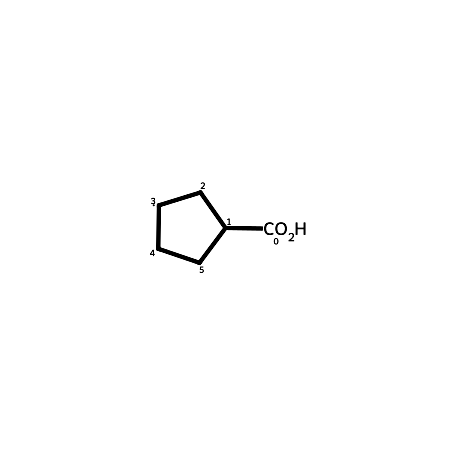 O=C(O)C1C[CH]CC1